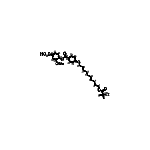 CCC(C)(C)C(=O)OCCCCCCCCCCOc1ccc(C(=O)Oc2ccc(C(=O)O)cc2OC)cc1